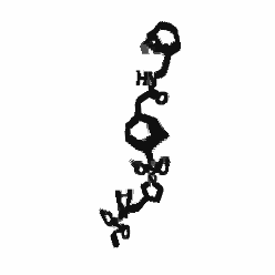 C=CS(=O)(=O)NCC1CCN(S(=O)(=O)c2ccc(CC(=O)NCc3ccccn3)cc2)C1